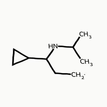 [CH2]CC(NC(C)C)C1CC1